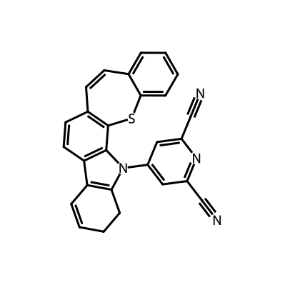 N#Cc1cc(-n2c3c(c4ccc5c(c42)Sc2ccccc2C=C5)C=CCC3)cc(C#N)n1